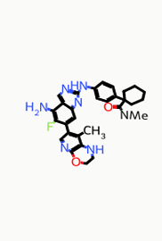 CNC(=O)C1(c2ccc(Nc3ncc4c(N)c(F)c(-c5cnc6c(c5C)NCCO6)cc4n3)cc2)CCCCC1